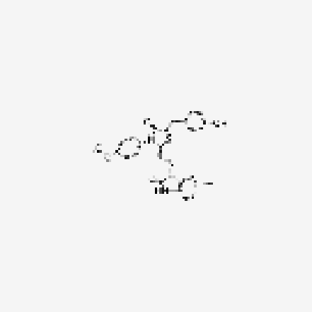 COc1ccc(N2C(=O)C(=Cc3ccc(O)cc3)SC2=NN=C2C(=O)Nc3ccc(F)cc32)cc1